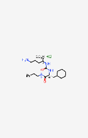 CC(C)CCNC(=O)[C@@H](CC1CCCCC1)NC(=O)N[C@@H](CCCN)C(=O)O.Cl